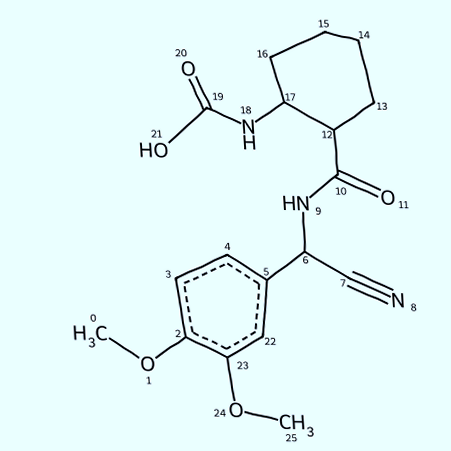 COc1ccc(C(C#N)NC(=O)C2CCCCC2NC(=O)O)cc1OC